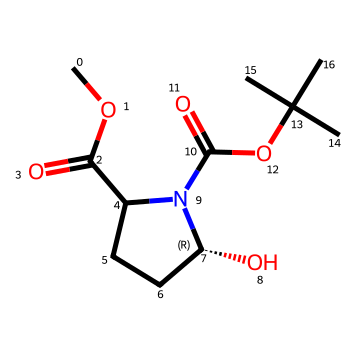 COC(=O)C1CC[C@@H](O)N1C(=O)OC(C)(C)C